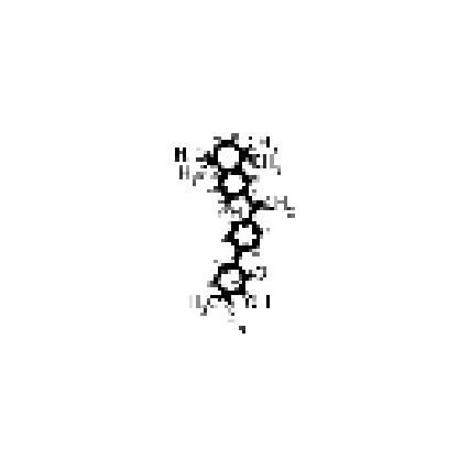 C=C(c1ccc(C2=CCC(C)(C)C(O)C2=O)cc1)c1cc2c(cc1C)C(C)(C)CCC2(C)C